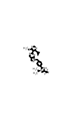 COc1ncnc(C2CC2)c1-c1ncc2cnn(Cc3ccc(C4NC(C(F)(F)F)=CN4C(C)C)cc3)c2n1